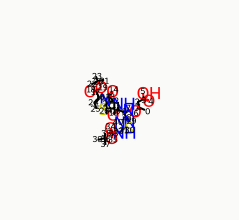 CC(CC(=O)O)ON=C(C(=O)N[C@@H]1C(=O)N2C(C(=O)OC(C)(C)C)=CCS[C@@H]12)c1nsc(NC(=O)OC(C)(C)C)n1